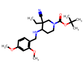 CCC1(C#N)CN(C(=O)OC(C)(C)C)CCC1NCc1ccc(OC)cc1OC